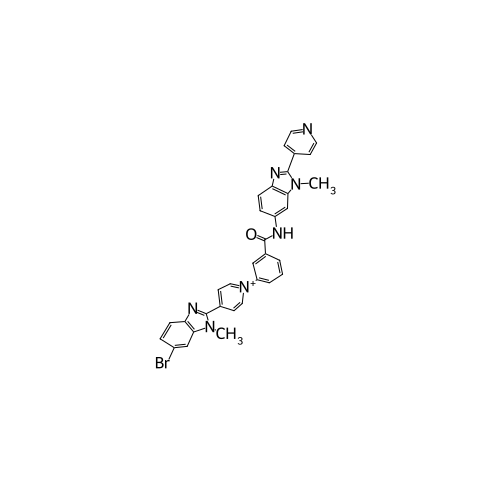 Cn1c(-c2cc[n+](-c3cccc(C(=O)Nc4ccc5nc(-c6ccncc6)n(C)c5c4)c3)cc2)nc2ccc(Br)cc21